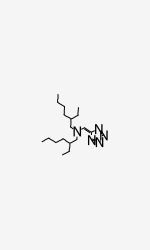 CCCCC(CC)CN(C=C1N=NN=N1)CC(CC)CCCC